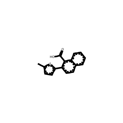 Cc1ccc(-c2ccc3ccccc3c2C(=O)O)s1